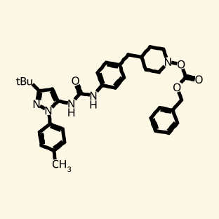 Cc1ccc(-n2nc(C(C)(C)C)cc2NC(=O)Nc2ccc(CC3CCN(OC(=O)OCc4ccccc4)CC3)cc2)cc1